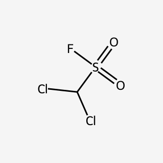 O=S(=O)(F)C(Cl)Cl